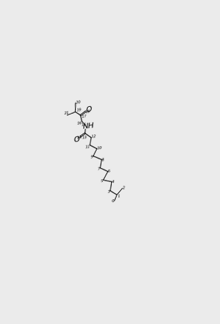 CC(C)CCCCCCCCCCC(=O)NCC(=O)C(C)C